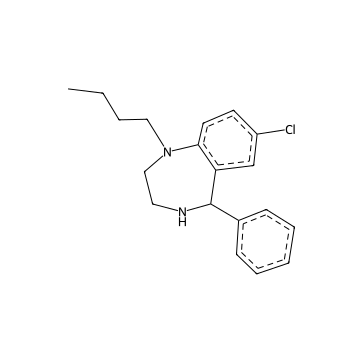 CCCCN1CCNC(c2ccccc2)c2cc(Cl)ccc21